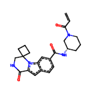 C=CC(=O)N1CCC[C@H](NC(=O)c2ccc3cc4n(c3c2)C2(CCC2)CNC4=O)C1